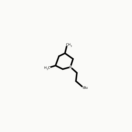 CC1CC(C)CN(CCC(C)(C)C)C1